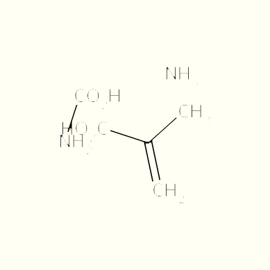 C=C(C)C(=O)O.N.NC(=O)O